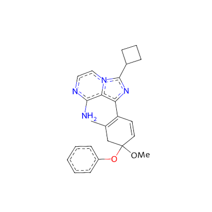 COC1(Oc2ccccc2)C=CC(c2nc(C3CCC3)n3ccnc(N)c23)=C(C)C1